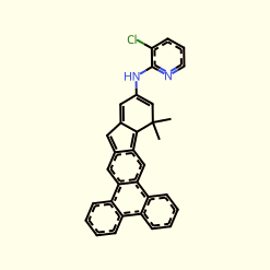 CC1(C)C=C(Nc2ncccc2Cl)C=C2C=c3cc4c5ccccc5c5ccccc5c4cc3=C21